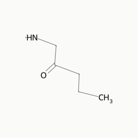 CCCC(=O)C[NH]